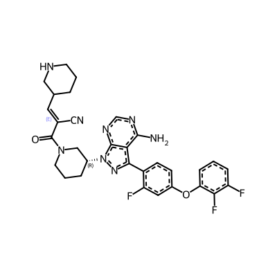 N#C/C(=C\C1CCCNC1)C(=O)N1CCC[C@@H](n2nc(-c3ccc(Oc4cccc(F)c4F)cc3F)c3c(N)ncnc32)C1